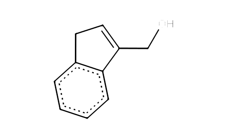 OCC1=CCc2ccccc21